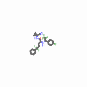 N#CC1(NC(=O)C(CCC(F)(F)c2ccccc2)N[C@@H](c2ccc(F)cc2)C(F)(F)F)CC1